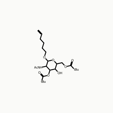 C=CCCCCOC1OC(COC(=O)C(C)(C)C)C(O)C(OC(=O)C(C)(C)C)C1NC(C)=O